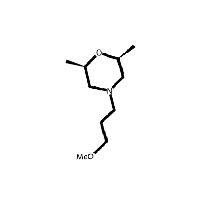 COCCCN1C[C@@H](C)O[C@@H](C)C1